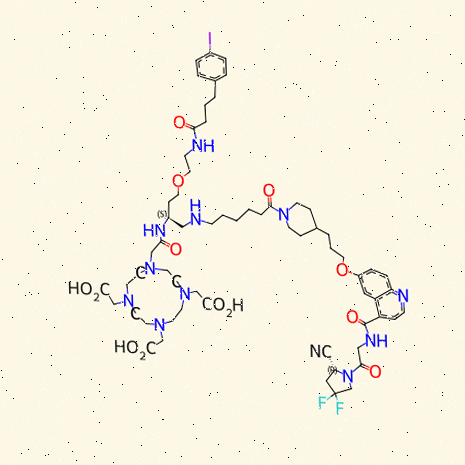 N#C[C@H]1CC(F)(F)CN1C(=O)CNC(=O)c1ccnc2ccc(OCCCC3CCN(C(=O)CCCCCNC[C@H](CCOCCNC(=O)CCCc4ccc(I)cc4)NC(=O)CN4CCN(CC(=O)O)CCN(CC(=O)O)CCN(CC(=O)O)CC4)CC3)cc12